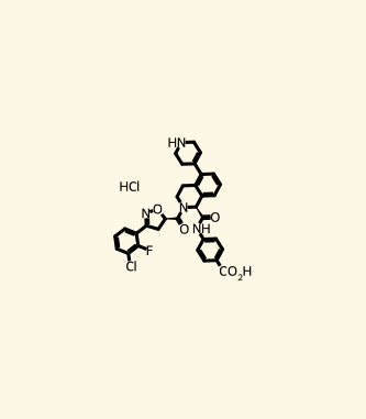 Cl.O=C(O)c1ccc(NC(=O)[C@@H]2c3cccc(C4=CCNCC4)c3CCN2C(=O)[C@H]2CC(c3cccc(Cl)c3F)=NO2)cc1